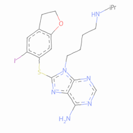 CC(C)NCCCCn1c(Sc2cc3c(cc2I)CCO3)nc2c(N)ncnc21